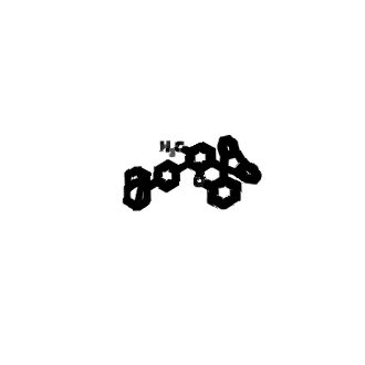 Cc1ccc2c(c1-c1ccc(C34CC5CC(CC(C5)C3)C4)cc1)Oc1ccccc1C21c2ccccc2-c2ccccc21